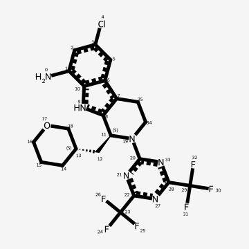 Nc1cc(Cl)cc2c3c([nH]c12)[C@H](C[C@@H]1CCCOC1)N(c1nc(C(F)(F)F)nc(C(F)(F)F)n1)CC3